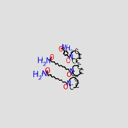 NC(=O)CCCCCCCCCCC(=O)N1CCCCCCCCCCCC1.NC(=O)CCCCCCCCCCC(=O)N1CCCCCCCCCCCC1.NC(=O)c1ccc(C(=O)N2CCCCCCCCCCCC2)cc1